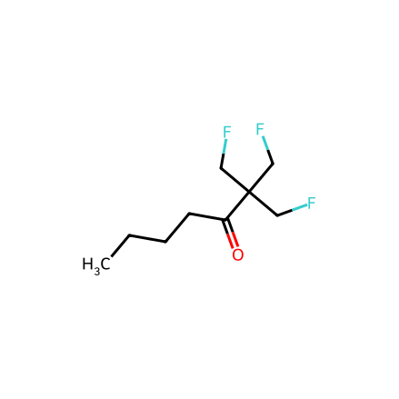 CCCCC(=O)C(CF)(CF)CF